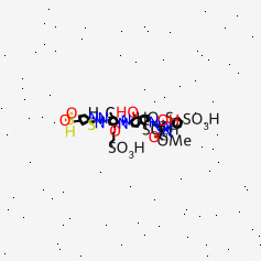 COC(=O)c1nn(-c2ccc(S(=O)(=O)O)cc2S(=O)(=O)O)c(O)c1N=Nc1ccc2c(O)c(N=Nc3cc(C)c(N=Nc4nc5ccc(C[SH](=O)=O)cc5s4)cc3OCCCS(=O)(=O)O)ccc2c1S(=O)(=O)O